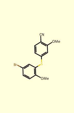 COc1cc(Sc2cc(Br)ccc2OC)ccc1C#N